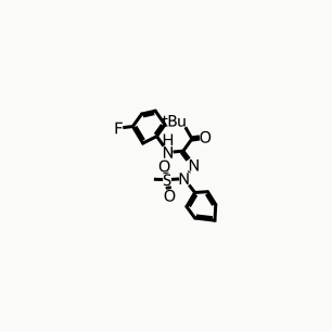 CC(C)(C)C(=O)C(=NN(c1ccccc1)S(C)(=O)=O)Nc1cccc(F)c1